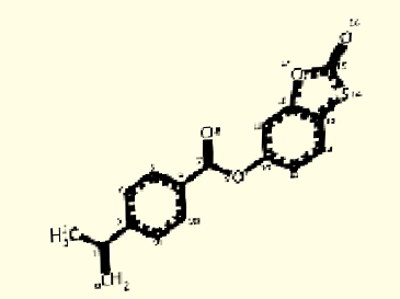 C=C(C)c1ccc(C(=O)Oc2ccc3sc(=O)oc3c2)cc1